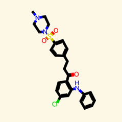 CN1CCN(S(=O)(=O)c2ccc(CCC(=O)c3ccc(Cl)cc3Nc3ccccc3)cc2)CC1